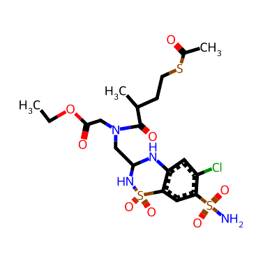 CCOC(=O)CN(CC1Nc2cc(Cl)c(S(N)(=O)=O)cc2S(=O)(=O)N1)C(=O)C(C)CCSC(C)=O